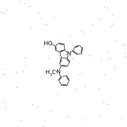 CN(c1ccccc1)c1ccc2c(c1)c1cc(O)ccc1n2-c1ccccc1